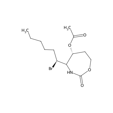 CCCCC[C@H](Br)C1NC(=O)OCC[C@H]1OC(C)=O